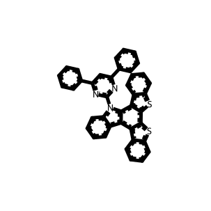 c1ccc(-c2cc(-c3ccccc3)nc(-n3c4ccccc4c4c5c6ccccc6sc5c5sc6ccccc6c5c43)n2)cc1